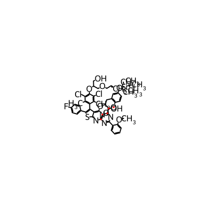 C=CCOCC(CO)Oc1c(Cl)c(C)c(-c2c(-c3ccc(F)cc3)sc3ncnc(OC(Cc4cc(O[Si](C)(C)C(C)(C)C)ccc4OCc4ccnc(-c5ccccc5OC)n4)C(=O)O)c23)c(C)c1Cl